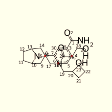 NC(=O)c1cccc(C2CC3CCC(C2)N3CCN(CC2CCC2)C(=O)[C@@H](O)CO)c1